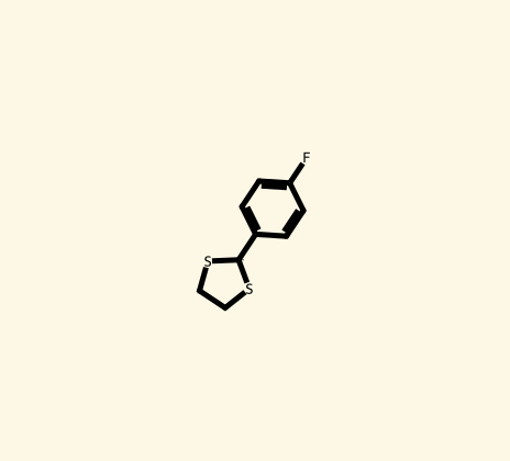 Fc1ccc([C]2SCCS2)cc1